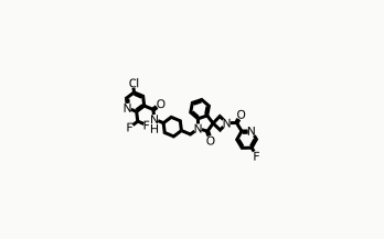 O=C(NC1CCC(CN2C(=O)C3(CN(C(=O)c4ccc(F)cn4)C3)c3ccccc32)CC1)c1cc(Cl)cnc1C(F)F